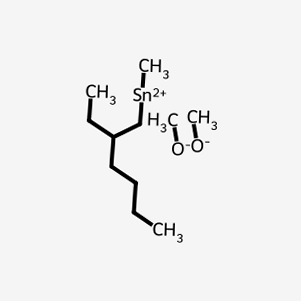 CCCCC(CC)[CH2][Sn+2][CH3].C[O-].C[O-]